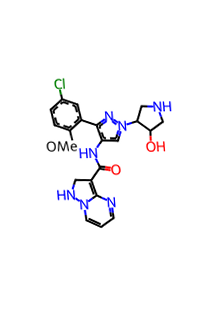 COc1ccc(Cl)cc1-c1nn(C2CNCC2O)cc1NC(=O)C1=C2N=CC=CN2NC1